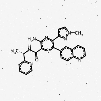 C[C@H](NC(=O)c1nc(-c2ccc3ncccc3c2)c(-c2ccn(C)n2)nc1N)c1ccccn1